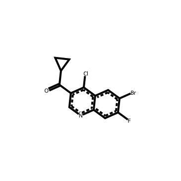 O=C(c1cnc2cc(F)c(Br)cc2c1Cl)C1CC1